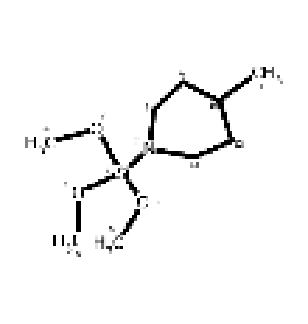 CO[Si](OC)(OC)N1CCC(C)CC1